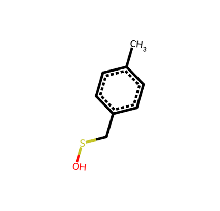 Cc1ccc(CSO)cc1